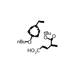 C=C(C=CC(=O)O)C(=O)OC(C)(C)C.C=Cc1ccc(OCCCC)cc1